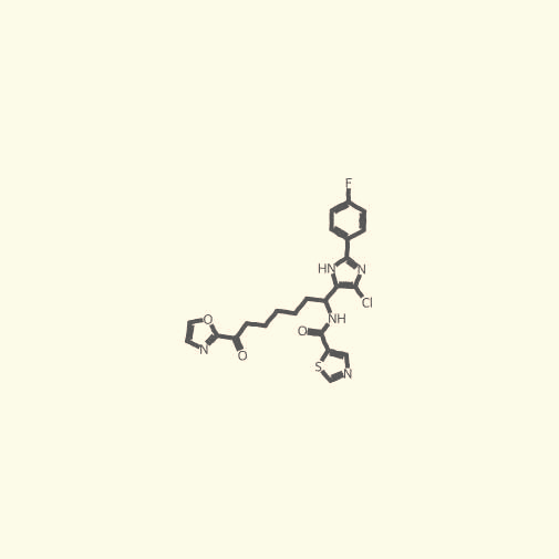 O=C(CCCCCC(NC(=O)c1cncs1)c1[nH]c(-c2ccc(F)cc2)nc1Cl)c1ncco1